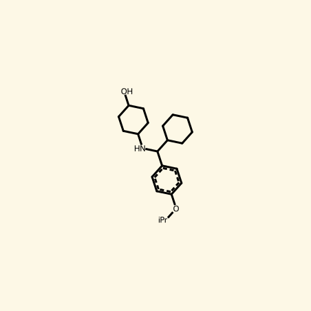 CC(C)Oc1ccc(C(NC2CCC(O)CC2)C2CCCCC2)cc1